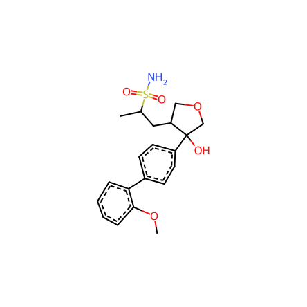 COc1ccccc1-c1ccc(C2(O)COCC2CC(C)S(N)(=O)=O)cc1